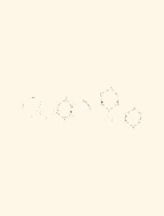 N#Cc1c(/C=C/c2ccc(CN3CCCCC3)cc2Cl)cccc1-c1ccccc1